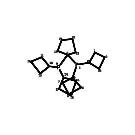 C1CC(P(C2CCC2)C2(P(C3CCC3)C3CCC3)CCCC2)C1